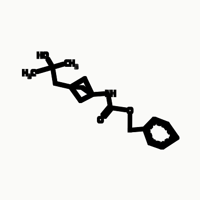 CC(C)(O)CC12CC(NC(=O)OCc3ccccc3)(C1)C2